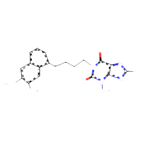 CCCCCn1c(=O)n(CCCCc2cccc3cc(OC)c(OC)cc23)c(=O)c2[nH]c(Cl)nc21